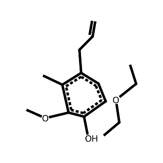 C=CCc1ccc(O)c(OC)c1C.CCOCC